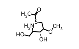 COC(CSC(C)=O)[C@H](O)[C@H](N)CO